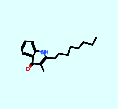 CCCCCCCCc1[nH]c2ccccc2c(=O)c1C